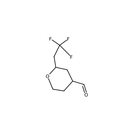 O=CC1CCOC(CC(F)(F)F)C1